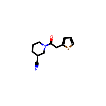 N#C[C@H]1CCCN(C(=O)Cc2cccs2)C1